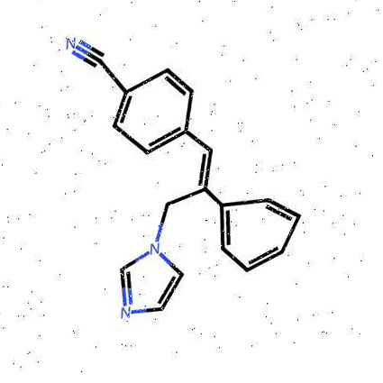 N#Cc1ccc(C=C(Cn2ccnc2)c2ccccc2)cc1